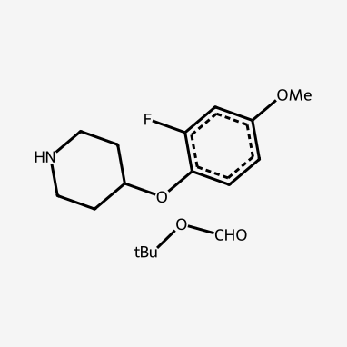 CC(C)(C)OC=O.COc1ccc(OC2CCNCC2)c(F)c1